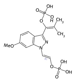 COc1ccc2c(C(OP(=O)(O)O)=C(C)C)nn(/C=C/OP(=O)(O)O)c2c1